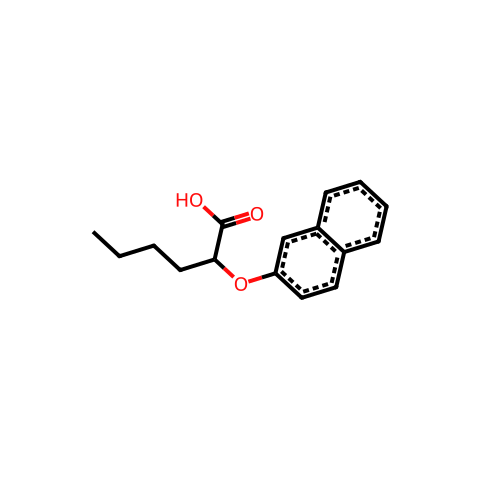 CCCCC(Oc1ccc2ccccc2c1)C(=O)O